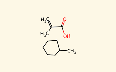 C=C(C)C(=O)O.CC1CCCCC1